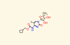 C[C@H]1O[C@@H](n2cc(I)c(NC(=O)OCC3CCC3)nc2=O)C(O)C1O